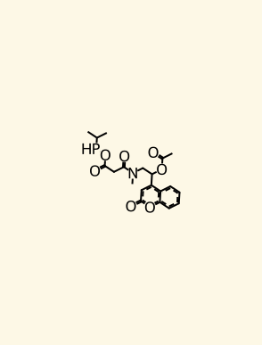 CC(=O)OC(CN(C)C(=O)CC(=O)OPC(C)C)c1cc(=O)oc2ccccc12